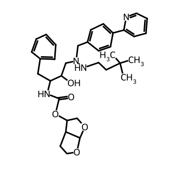 CC(C)(C)CCNN(Cc1ccc(-c2ccccn2)cc1)CC(O)C(Cc1ccccc1)NC(=O)OC1COC2OCCC12